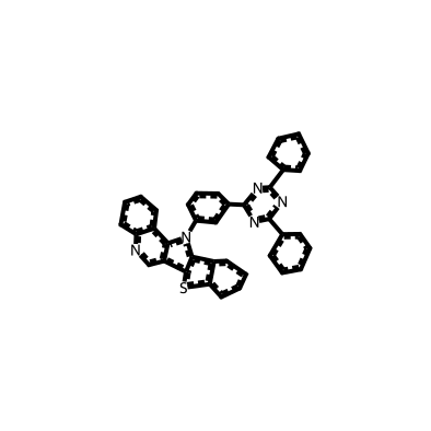 c1ccc(-c2nc(-c3ccccc3)nc(-c3cccc(-n4c5c6ccccc6ncc5c5sc6ccccc6c54)c3)n2)cc1